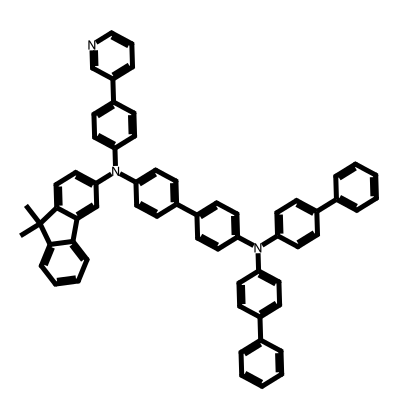 CC1(C)c2ccccc2-c2cc(N(c3ccc(-c4ccc(N(c5ccc(-c6ccccc6)cc5)c5ccc(-c6ccccc6)cc5)cc4)cc3)c3ccc(-c4cccnc4)cc3)ccc21